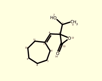 CC(O)C1(C=C2CCCCCC2)OC1=O